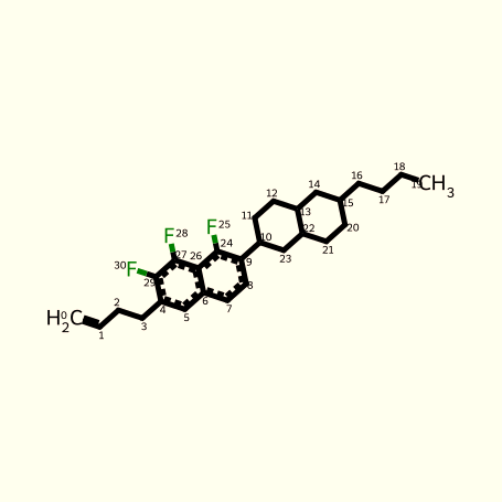 C=CCCc1cc2ccc(C3CCC4CC(CCCC)CCC4C3)c(F)c2c(F)c1F